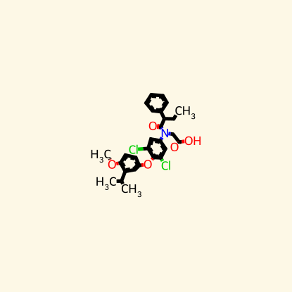 CCC(C(=O)N(CC(=O)O)c1cc(Cl)c(Oc2ccc(OC)c(C(C)C)c2)c(Cl)c1)c1ccccc1